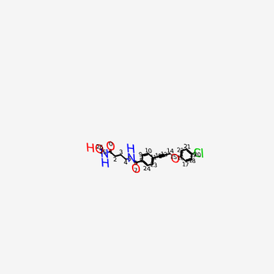 O=C(CCCNC(=O)c1ccc(C#CCOc2ccc(Cl)cc2)cc1)NO